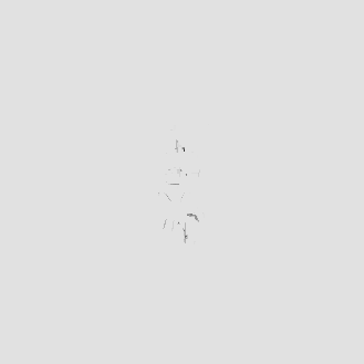 O=C(NO)c1ccc2c(c1)NC(CN1CCCCC1)S2